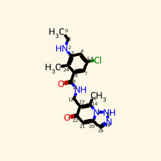 CCNc1cc(Cl)cc(C(=O)NCc2c(C)n3[nH]ncc3cc2=O)c1C